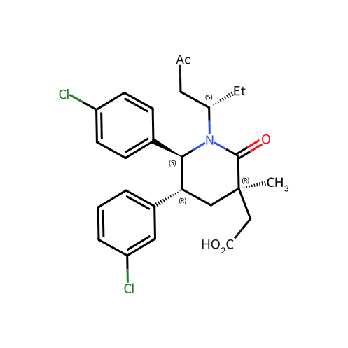 CC[C@@H](CC(C)=O)N1C(=O)[C@@](C)(CC(=O)O)C[C@H](c2cccc(Cl)c2)[C@H]1c1ccc(Cl)cc1